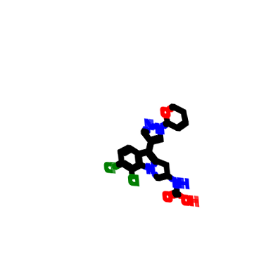 O=C(O)NC1Cc2c(-c3cnn(C4CCCCO4)c3)c3ccc(Cl)c(Cl)c3n2C1